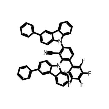 N#Cc1c(-n2c3ccccc3c3cc(-c4ccccc4)ccc32)ccc(-c2c(F)c(F)c(F)c(F)c2F)c1-n1c2ccccc2c2cc(-c3ccccc3)ccc21